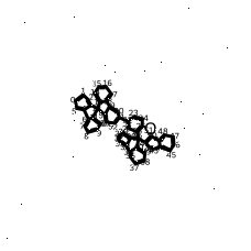 c1ccc2c(c1)-c1ccccc1C21c2ccccc2-c2cc(-c3ccc4c(c3)C3(c5ccccc5-c5ccccc53)c3ccc5ccccc5c3O4)ccc21